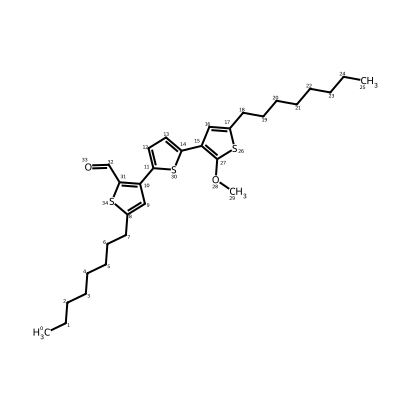 CCCCCCCCc1cc(-c2ccc(-c3cc(CCCCCCCC)sc3OC)s2)c(C=O)s1